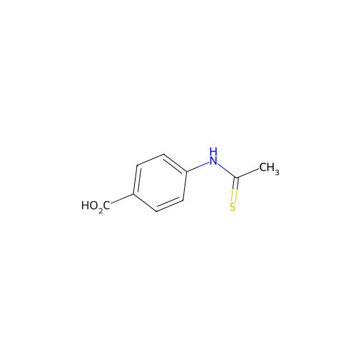 CC(=S)Nc1ccc(C(=O)O)cc1